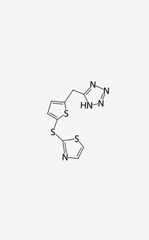 c1csc(Sc2ccc(Cc3nnn[nH]3)s2)n1